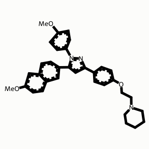 COc1ccc(-n2nc(-c3ccc(OCCN4CCCCC4)cc3)cc2-c2ccc3cc(OC)ccc3c2)cc1